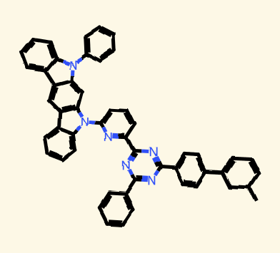 CC1C=CC=C(c2ccc(-c3nc(-c4ccccc4)nc(-c4cccc(-n5c6ccccc6c6cc7c8ccccc8n(-c8ccccc8)c7cc65)n4)n3)cc2)C1